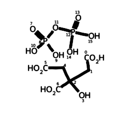 O=C(O)CC(O)(CC(=O)O)C(=O)O.O=P(O)(O)OP(=O)(O)O